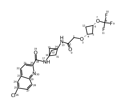 O=C(CO[C@H]1C[C@@H](OC(F)(F)F)C1)NC12CC(NC(=O)c3ccc4cc(Cl)ccc4n3)(C1)C2